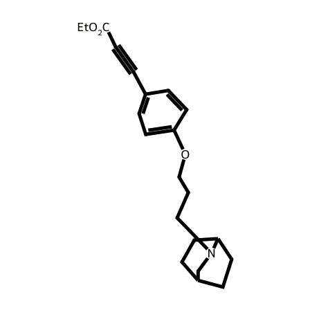 CCOC(=O)C#Cc1ccc(OCCCN2CC3CCC2CC3)cc1